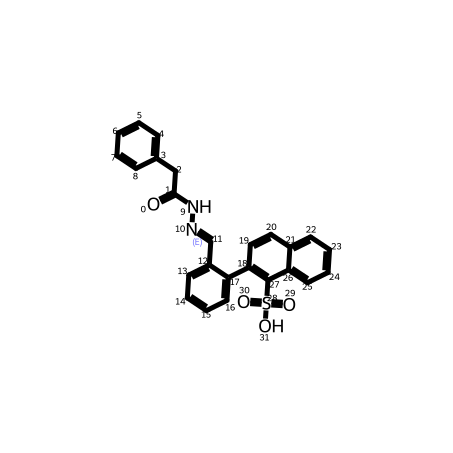 O=C(Cc1ccccc1)N/N=C/c1ccccc1-c1ccc2ccccc2c1S(=O)(=O)O